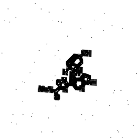 CNC(=O)c1nc(-c2cnc3[nH]ccc3c2N[C@@H]2[C@@H]3CC4C[C@H]2C[C@@](O)(C4)C3)no1